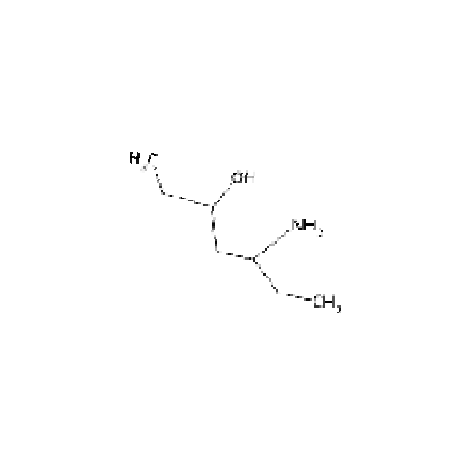 CCC(N)CC(O)CC